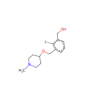 CN1CCC(OCc2cccc(CO)c2F)CC1